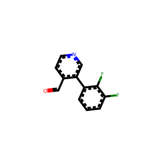 O=Cc1ccncc1-c1cccc(F)c1F